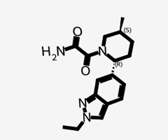 CCn1cc2ccc([C@H]3CC[C@H](C)CN3C(=O)C(N)=O)cc2n1